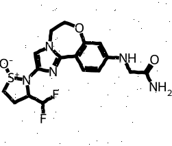 NC(=O)CNc1ccc2c(c1)OCCn1cc(N3C(C(F)F)CC[S+]3[O-])nc1-2